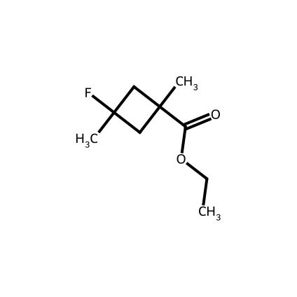 CCOC(=O)C1(C)CC(C)(F)C1